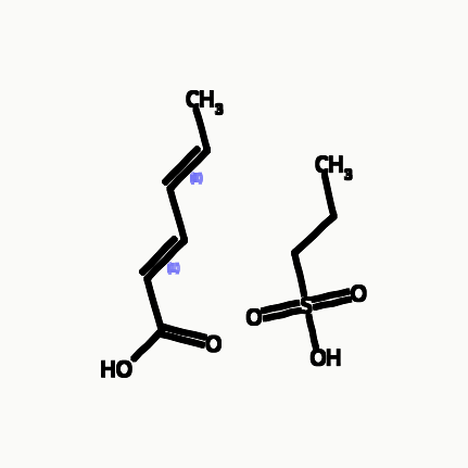 C/C=C/C=C/C(=O)O.CCCS(=O)(=O)O